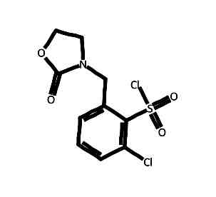 O=C1OCCN1Cc1cccc(Cl)c1S(=O)(=O)Cl